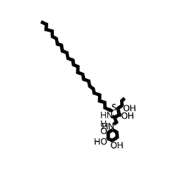 CCCCCCCCCCCCCCCCCCCCCCCCCC(=S)NC(CNC1CCC(O)C(O)C1O)C(O)CC(O)CC